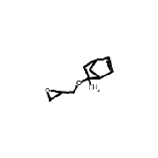 CC1(OCC2CO2)CC2C=CC1C2